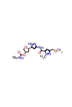 Cn1nc(COC(F)(F)F)cc1C(=O)Nc1cc([C@H]2C[C@@H](OC(=O)NC(C)(C)C)CO2)[nH]n1